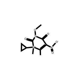 CON1C(=O)C([N+](=O)[O-])=C(C)[N+](C)(C2CC2)C1=O